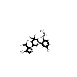 Cc1cnn(C2CN(c3cc(Cl)ccc3OSC(F)(F)F)CC(F)(F)C2)c1C(F)F